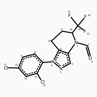 O=CN1c2cnn(-c3ccc(Cl)cc3Cl)c2CCC1C(F)(F)F